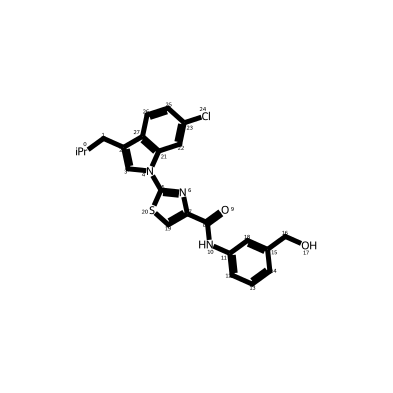 CC(C)Cc1cn(-c2nc(C(=O)Nc3cccc(CO)c3)cs2)c2cc(Cl)ccc12